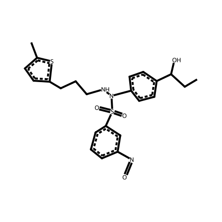 CCC(O)c1ccc(N(NCCCc2ccc(C)s2)S(=O)(=O)c2cccc(N=O)c2)cc1